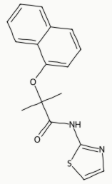 CC(C)(Oc1cccc2ccccc12)C(=O)Nc1nccs1